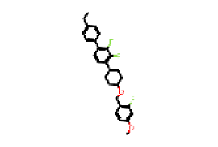 CCc1ccc(-c2ccc(C3CCC(OCc4ccc(OC)cc4F)CC3)c(F)c2F)cc1